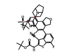 CC(C)(C)OC(=O)Nc1sc2c(F)ccc(-c3c4c(c5c(N6C7CCC6CN(C(=O)OC(C)(C)C)C7)cc(S(C)(=O)=O)nc5c3F)COC4)c2c1C#N